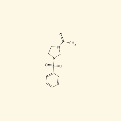 CC(=O)N1CCN(S(=O)(=O)c2ccccc2)C1